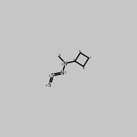 CN(N=S=S)C1CCC1